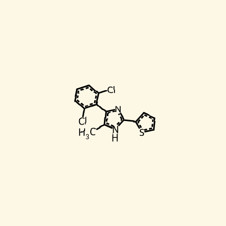 Cc1[nH]c(-c2cccs2)nc1-c1c(Cl)cccc1Cl